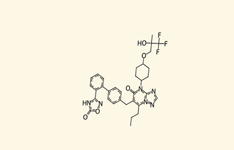 CCCc1c(Cc2ccc(-c3ccccc3-c3noc(=O)[nH]3)cc2)c(=O)n(C2CCC(OCC(C)(O)C(F)(F)F)CC2)c2ncnn12